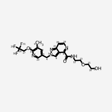 Cc1cc(Cn2cc3c(C(=O)NCCOCCO)nccc3n2)cnc1OCC(F)(F)F